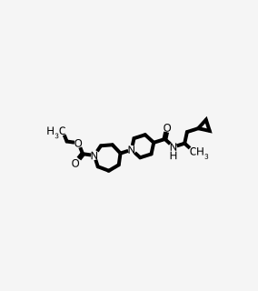 CCOC(=O)N1CCCC(N2CCC(C(=O)NC(C)CC3CC3)CC2)CC1